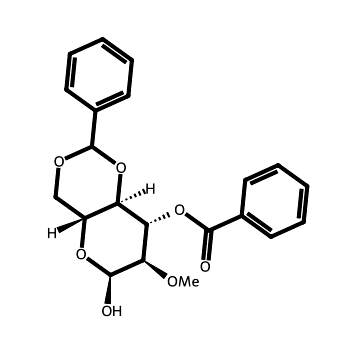 CO[C@@H]1[C@@H](OC(=O)c2ccccc2)[C@@H]2OC(c3ccccc3)OC[C@H]2O[C@@H]1O